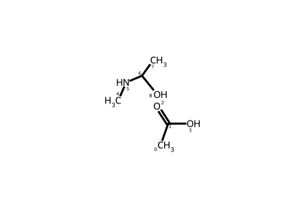 CC(=O)O.CNC(C)O